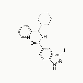 O=C(NC(c1ccccn1)C1CCCCC1)c1ccc2[nH]nc(I)c2c1